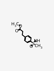 COC(=O)CCc1ccc(S(C)(=N)=O)cc1